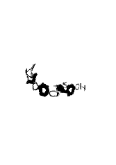 Oc1ccc2c(Oc3ccc(OC4CNC4)cc3)[c]sc2c1